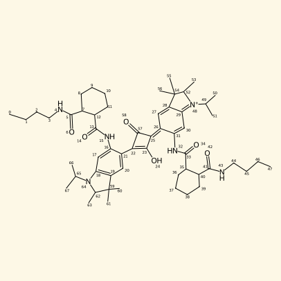 CCCCNC(=O)C1CCCCC1C(=O)Nc1cc2c(cc1C1=C(O)/C(=c3/cc4c(cc3NC(=O)C3CCCCC3C(=O)NCCCC)=[N+](C(C)C)C(C)C4(C)C)C1=O)C(C)(C)C(C)N2C(C)C